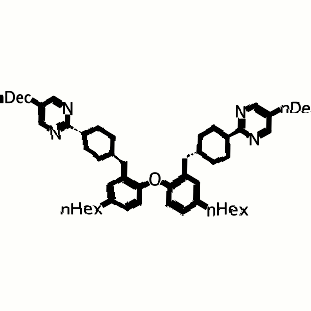 CCCCCCCCCCc1cnc([C@H]2CC[C@H](Cc3cc(CCCCCC)ccc3Oc3ccc(CCCCCC)cc3C[C@H]3CC[C@H](c4ncc(CCCCCCCCCC)cn4)CC3)CC2)nc1